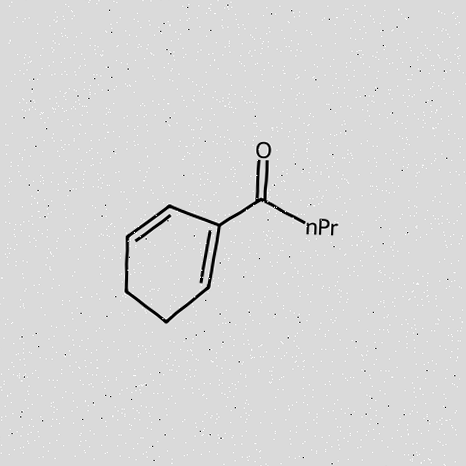 CCCC(=O)C1=CCCC=C1